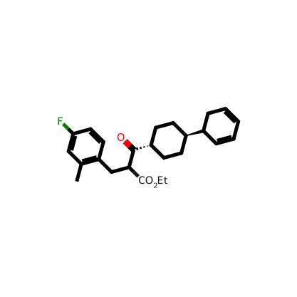 CCOC(=O)C(Cc1ccc(F)cc1C)C(=O)[C@H]1CC[C@H](C2C=CC=CC2)CC1